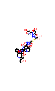 CC[C@]1(O)C[C@H]2CN(CCc3c([nH]c4ccccc34)[C@@](C(=O)OC)(c3cc4c(cc3OC)N(C)[C@H]3[C@@](O)(C(=O)NNC(=O)CSSC[C@H](NC(=O)[C@H](CC(=O)O)NC(=O)[C@H](CC(=O)O)NC)C(=O)O)[C@H](O)[C@]5(CC)CCCN6CC[C@]43[C@@H]65)C2)C1